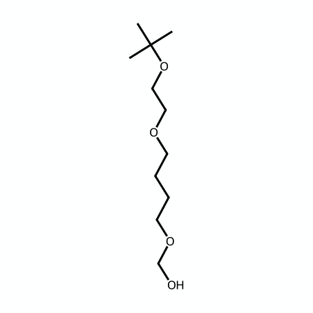 CC(C)(C)OCCOCCCCOCO